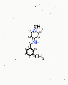 Cc1cccc(CNC2CCN(C)CC2)c1